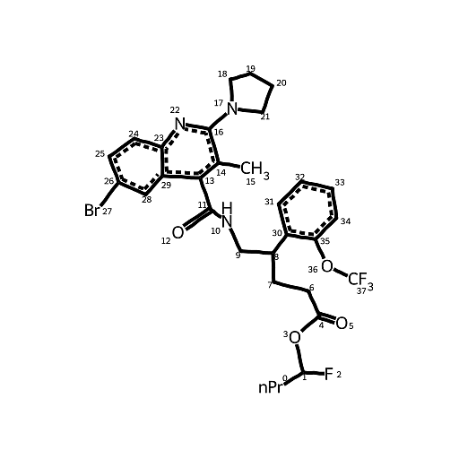 CCCC(F)OC(=O)CCC(CNC(=O)c1c(C)c(N2CCCC2)nc2ccc(Br)cc12)c1ccccc1OC(F)(F)F